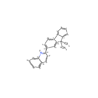 CC1(C(F)(F)F)c2ccccc2-c2ccc(-c3ccc4ccccc4n3)cc21